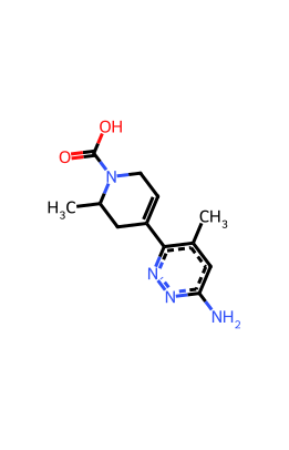 Cc1cc(N)nnc1C1=CCN(C(=O)O)C(C)C1